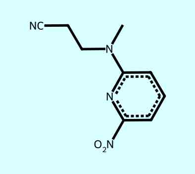 CN(CCC#N)c1cccc([N+](=O)[O-])n1